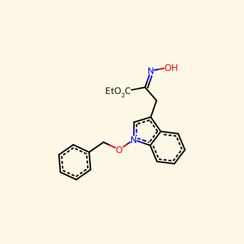 CCOC(=O)/C(Cc1cn(OCc2ccccc2)c2ccccc12)=N/O